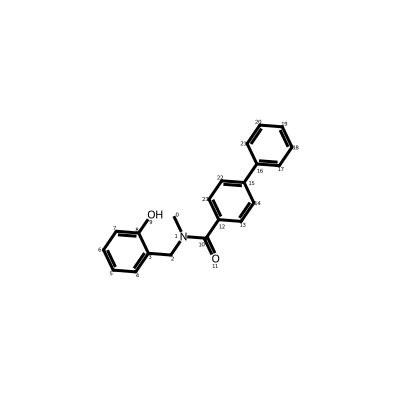 CN(Cc1ccccc1O)C(=O)c1ccc(-c2ccccc2)cc1